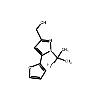 CC(C)(C)n1nc(CO)cc1-c1ccco1